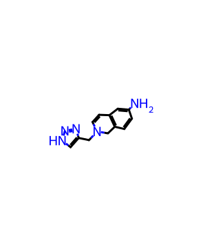 Nc1ccc2c(c1)C=CN(Cc1c[nH]nn1)C2